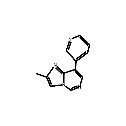 Cc1cn2cncc(-c3cccnc3)c2n1